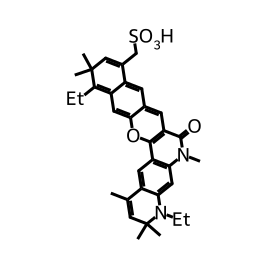 CCC1=c2cc3c(cc2C(CS(=O)(=O)O)=CC1(C)C)=Cc1c(c2cc4c(cc2n(C)c1=O)N(CC)C(C)(C)C=C4C)O3